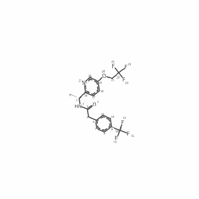 C[C@@H](NC(=O)Cc1ccc(C(F)(F)F)cc1)c1ccc(OCC(F)(F)F)cn1